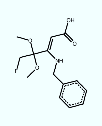 COC(CF)(OC)/C(=C/C(=O)O)NCc1ccccc1